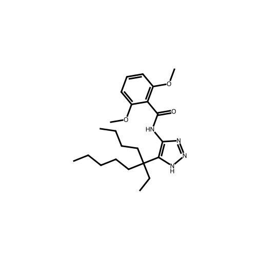 CCCCCC(CC)(CCCC)c1[nH]nnc1NC(=O)c1c(OC)cccc1OC